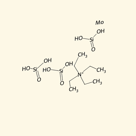 CC[N+](CC)(CC)CC.O=[Si](O)O.O=[Si](O)O.O=[Si](O)O.[Mo]